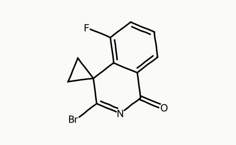 O=C1N=C(Br)C2(CC2)c2c(F)cccc21